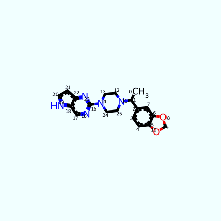 CC(c1ccc2c(c1)OCO2)N1CCN(c2ncc3[nH]ccc3n2)CC1